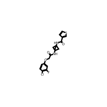 O=C(COc1ccc(Cl)c(F)c1)NC12CC(NC(=O)c3ccsc3)(C1)C2